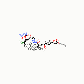 COC1=CC[C@@H]([C@@H](C)/C=C\C=C/C(=O)CC[C@H](C(=O)N/C=C\C[C@H](C/C=C(\C)Cl)OC(N)=O)C(C)(C)C)OC1=O